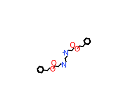 CN(CCCN(C)CCC(=O)OCCc1ccccc1)CCC(=O)OCCc1ccccc1